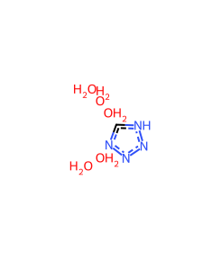 O.O.O.O.O.c1nnn[nH]1